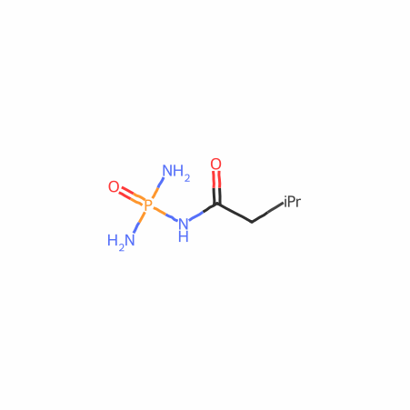 CC(C)CC(=O)NP(N)(N)=O